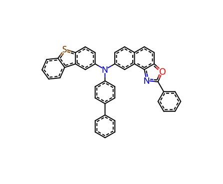 c1ccc(-c2ccc(N(c3ccc4sc5ccccc5c4c3)c3ccc4ccc5oc(-c6ccccc6)nc5c4c3)cc2)cc1